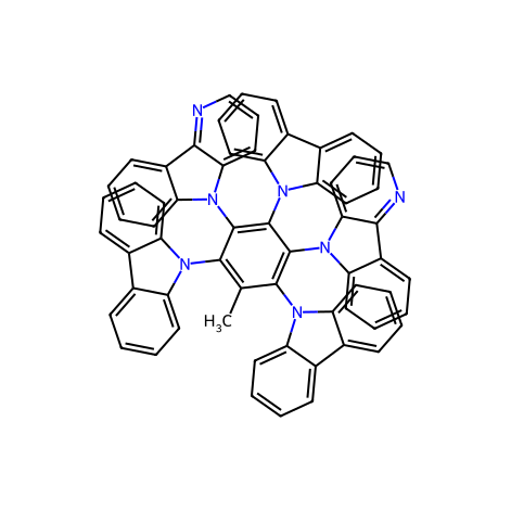 Cc1c(-n2c3ccccc3c3ccccc32)c(-n2c3ccccc3c3ncccc32)c(-n2c3ccccc3c3ccccc32)c(-n2c3ccccc3c3ncccc32)c1-n1c2ccccc2c2ccccc21